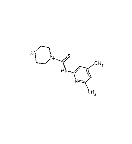 Cc1cc(C)nc(NC(=S)N2CCNCC2)c1